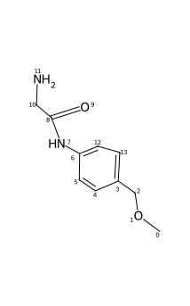 COCc1ccc(NC(=O)CN)cc1